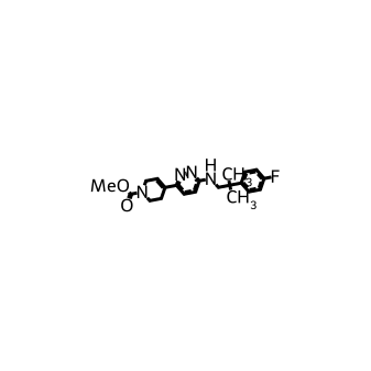 COC(=O)N1CC=C(c2ccc(NCC(C)(C)c3ccc(F)cc3)nn2)CC1